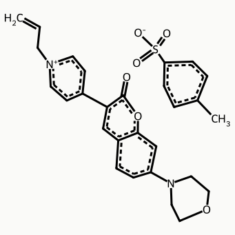 C=CC[n+]1ccc(-c2cc3ccc(N4CCOCC4)cc3oc2=O)cc1.Cc1ccc(S(=O)(=O)[O-])cc1